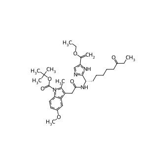 C=C(OCC)c1cnc([C@H](CCCCCC(=O)CC)NC(=O)Cc2c(C)n(C(=O)OC(C)(C)C)c3ccc(OC)cc23)[nH]1